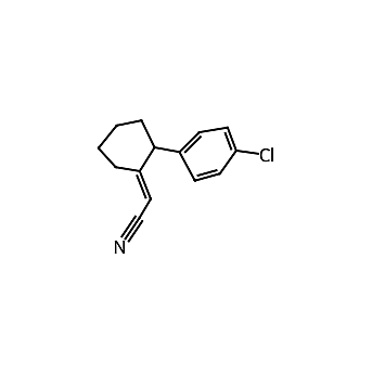 N#CC=C1CCCCC1c1ccc(Cl)cc1